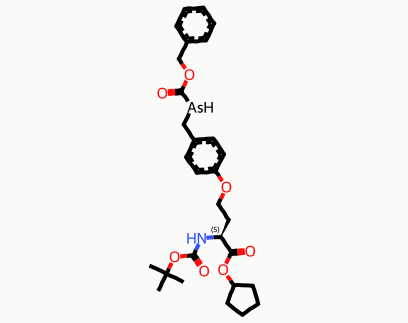 CC(C)(C)OC(=O)N[C@@H](CCOc1ccc(C[AsH]C(=O)OCc2ccccc2)cc1)C(=O)OC1CCCC1